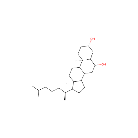 CC(C)CCC[C@H](C)C1CCC2C3CC(O)C4C[C@@H](O)CC[C@]4(C)C3CC[C@@]21C